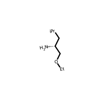 CCOC[C@H](N)CC(C)C